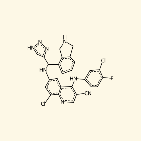 N#Cc1cnc2c(Cl)cc(NC(c3c[nH]nn3)c3cccc4c3CNC4)cc2c1Nc1ccc(F)c(Cl)c1